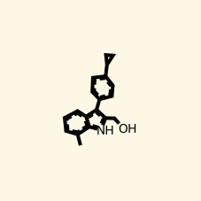 Cc1cccc2c(-c3ccc(C4CC4)cc3)c(CO)[nH]c12